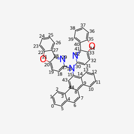 c1ccc2c(c1)ccc1c3ccccc3c(N(c3ccc4oc5ccccc5c4n3)c3ccc4oc5ccccc5c4n3)cc21